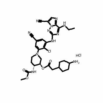 CCNc1nc(Nc2cc(C#N)cc(N3CC[C@@H](NC(=O)OC)[C@H](OC(=O)CC4CCC(N)CC4)C3)c2Cl)nn2c(C#N)cnc12.Cl